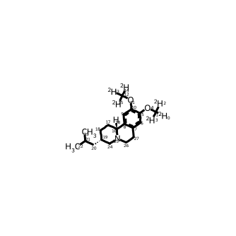 [2H]C([2H])([2H])Oc1cc2c(cc1OC([2H])([2H])[2H])[C@H]1CC[C@@H](CC(C)C)CN1CC2